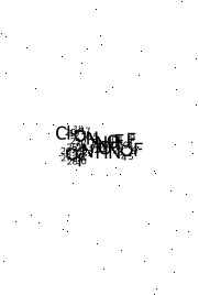 O=C(Nc1ccc(F)c(F)c1F)ONC1=Nc2ccc(Cl)cc2C(c2ccccc2F)=NC1